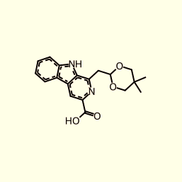 CC1(C)COC(Cc2nc(C(=O)O)cc3c2[nH]c2ccccc23)OC1